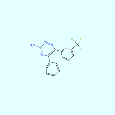 Nc1nnc(-c2cccc(C(F)(F)F)c2)c(-c2ccccc2)n1